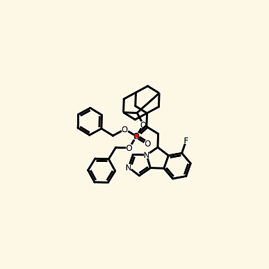 O=C(CC1c2c(F)cccc2-c2cncn21)C12CC3CC(C1)C(OP(=O)(OCc1ccccc1)OCc1ccccc1)C(C3)C2